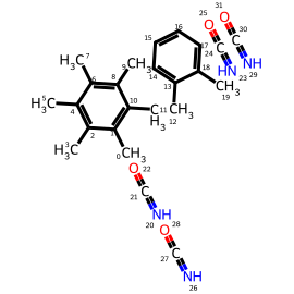 Cc1c(C)c(C)c(C)c(C)c1C.Cc1ccccc1C.N=C=O.N=C=O.N=C=O.N=C=O